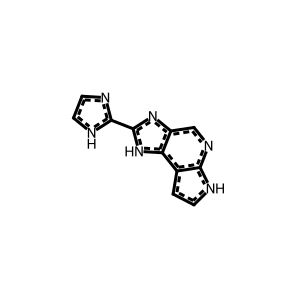 c1c[nH]c(-c2nc3cnc4[nH]ccc4c3[nH]2)n1